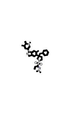 C=C/C(=N\N(C)C)S(=O)(=O)N1CCC(Cc2ccccc2)(c2cc3cnn(C4=CN(C)C(=C)C(C)=C4)c3cc2C)C1